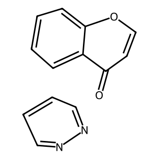 O=c1ccoc2ccccc12.c1ccnnc1